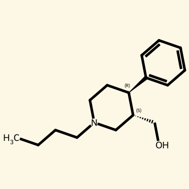 CCCCN1CC[C@@H](c2ccccc2)[C@H](CO)C1